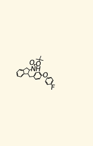 CC(C)(C)OC(=O)NC1Cc2ccccc2C1Cc1ccc(Oc2ccc(F)cc2)cc1